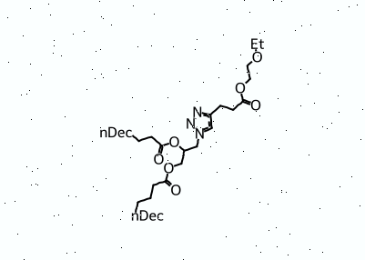 CCCCCCCCCCCCCC(=O)OCC(Cn1cc(CCC(=O)OCCOCC)nn1)OC(=O)CCCCCCCCCCCC